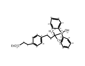 CCOC(=O)CCc1ccc(CCC(C)(C)[Si](O)(c2ccccc2)c2ccccc2)cc1